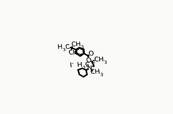 C[C@@H](C[N+](C)(C)C1CCCCC1)OC(=O)c1ccc(C(C)(C)C)cc1.[I-]